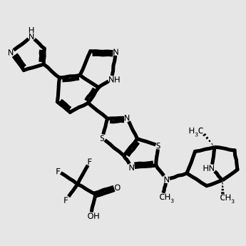 CN(c1nc2sc(-c3ccc(-c4cn[nH]c4)c4cn[nH]c34)nc2s1)C1C[C@]2(C)CC[C@](C)(C1)N2.O=C(O)C(F)(F)F